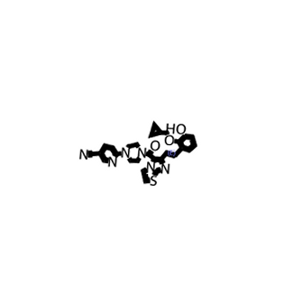 N#Cc1ccc(N2CCN(C(=O)c3c(/C=C/c4cccc(O)c4OCC4CC4)nc4sccn34)CC2)nc1